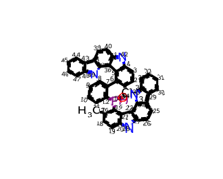 Cc1ccc2c(c1-c1ccccc1[PH](=O)c1c(C)ccc3c1-c1c4c(ccc1=N3)=c1ccccc1=N4)-c1c3c(ccc1=N2)=c1ccccc1=N3